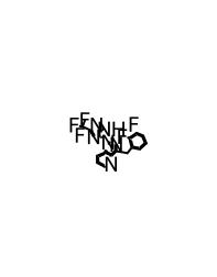 Fc1cccc(Cc2nn(-c3nc(C(F)(F)F)n[nH]3)c3cccnc23)c1F